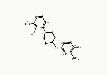 Nc1nc(OC2CCN(c3ncnc(O)c3F)CC2)ncc1F